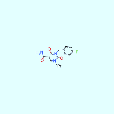 CC(C)n1cc(C(N)=O)c(=O)n(Cc2ccc(F)cc2)c1=O